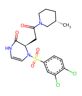 C[C@H]1CCCN(C(=O)C[C@@H]2C(=O)NC=CN2S(=O)(=O)c2ccc(Cl)c(Cl)c2)C1